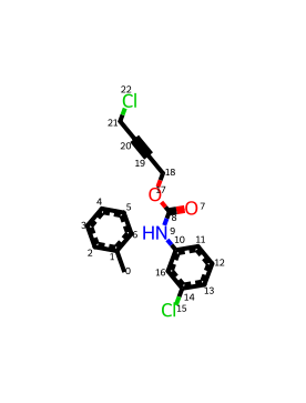 Cc1ccccc1.O=C(Nc1cccc(Cl)c1)OCC#CCCl